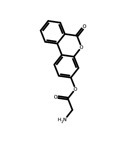 NCC(=O)Oc1ccc2c(c1)oc(=O)c1ccccc12